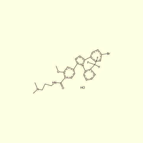 COc1cc(-c2ccc(-c3ccc(Br)cc3)n2-c2ccccc2C(F)(F)F)ccc1C(=O)NCCCN(C)C.Cl